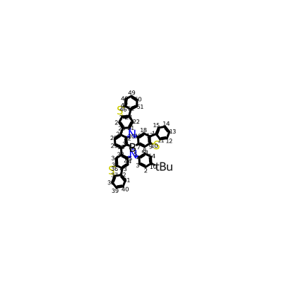 CC(C)(C)c1ccc(N2B3c4cc5sc6ccccc6c5cc4-n4c5cc6c(cc5c5ccc(c3c54)-c3cc4sc5ccccc5c4cc32)sc2ccccc26)cc1